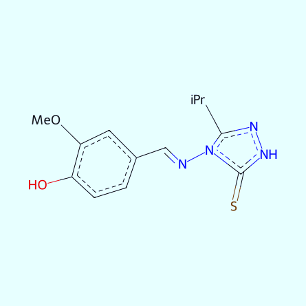 COc1cc(C=Nn2c(C(C)C)n[nH]c2=S)ccc1O